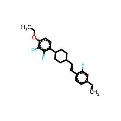 C=Cc1ccc(/C=C/C2CCC(c3ccc(OCC)c(F)c3F)CC2)c(F)c1